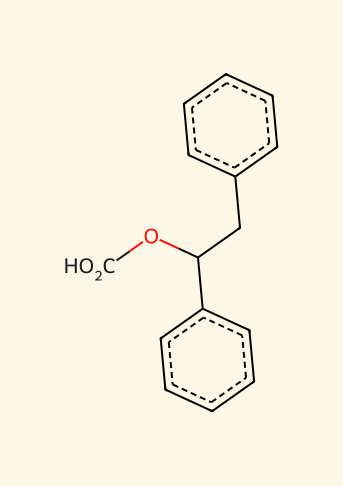 O=C(O)OC(Cc1ccccc1)c1ccccc1